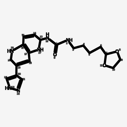 O=C(NCCCCC1OCCO1)NC1C=CC2=C(C=C(c3cn[nH]c3)CN2)N1